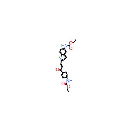 CCOC(=O)Nc1ccc(C(=O)/C=C/c2ccc3cc(NC(=O)OCC)ccc3n2)cc1